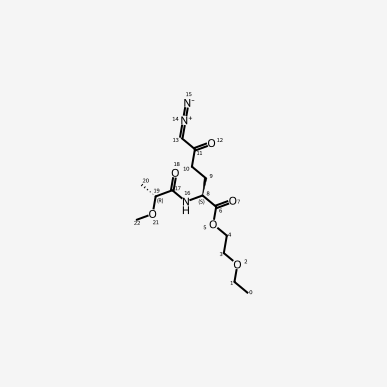 CCOCCOC(=O)[C@H](CCC(=O)C=[N+]=[N-])NC(=O)[C@@H](C)OC